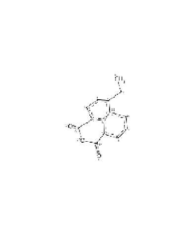 CCc1ccc2c3c(cccc13)C(=O)OC2=O